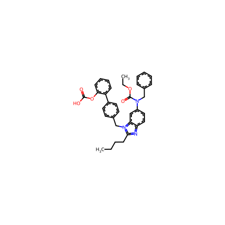 CCCCc1nc2ccc(N(Cc3ccccc3)C(=O)OCC)cc2n1Cc1ccc(-c2ccccc2OC(=O)O)cc1